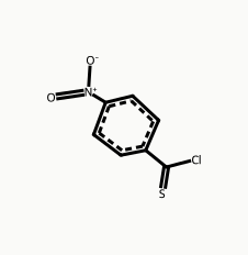 O=[N+]([O-])c1ccc(C(=S)Cl)cc1